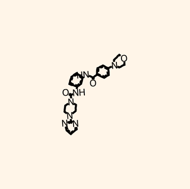 O=C(Nc1cccc(NC(=O)N2CCN(c3ncccn3)CC2)c1)c1ccc(N2CCOCC2)cc1